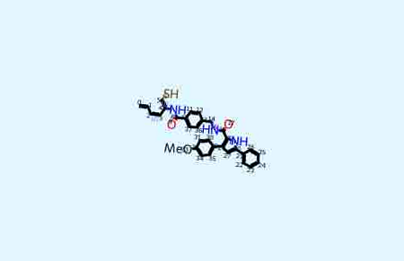 C=C/C=C\C(=C\S)NC(=O)c1ccc(CNC(=O)c2[nH]c(-c3ccccc3)cc2-c2ccc(OC)cc2)cc1